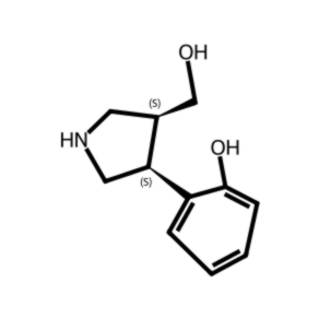 OC[C@@H]1CNC[C@@H]1c1ccccc1O